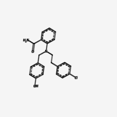 NC(=O)c1ccccc1N(CCc1ccc(Cl)cc1)Cc1ccc(O)cc1